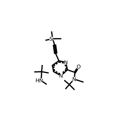 CN(C(=O)c1nccc(C#C[Si](C)(C)C)n1)C(C)(C)C.CNC(C)(C)C